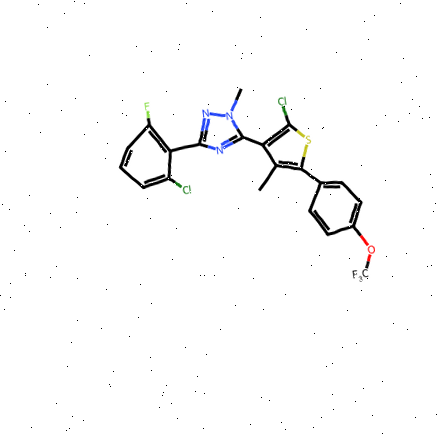 Cc1c(-c2ccc(OC(F)(F)F)cc2)sc(Cl)c1-c1nc(-c2c(F)cccc2Cl)nn1C